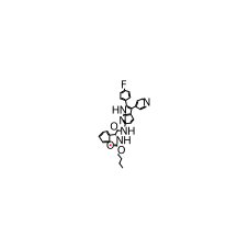 CCCCOC(=O)N[C@@H](C(=O)Nc1ccc2c(-c3ccncc3)c(-c3ccc(F)cc3)[nH]c2n1)c1ccccc1